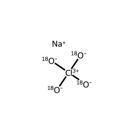 [18O-][Cl+3]([18O-])([18O-])[18O-].[Na+]